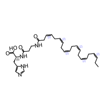 CC/C=C\C/C=C\C/C=C\C/C=C\C/C=C\C/C=C\CC(=O)NCCC(=O)N[C@@H](Cc1cnc[nH]1)C(=O)O